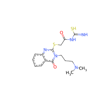 CN(C)CCCn1c(SCC(=O)NC(=N)S)nc2ccccc2c1=O